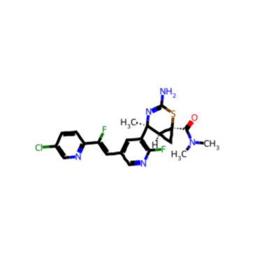 CN(C)C(=O)[C@]12C[C@H]1[C@@](C)(c1cc(C=C(F)c3ccc(Cl)cn3)cnc1F)N=C(N)S2